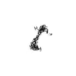 CC1(C(=O)O)CCCN1C(=O)c1ccc(-c2ccc(OCC3CCN(CC(C)(C)C(F)(F)F)CC3)cn2)cc1F